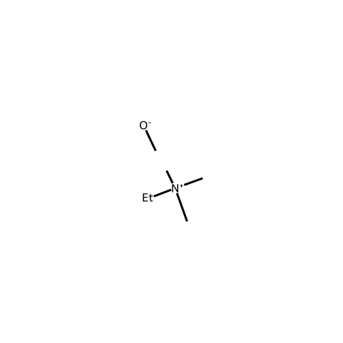 CC[N+](C)(C)C.C[O-]